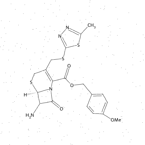 COc1ccc(COC(=O)C2=C(CSc3nnc(C)s3)CS[C@@H]3C(N)C(=O)N23)cc1